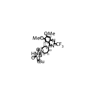 COc1cc2nc(C(F)(F)F)nc(N3CCCN(S(=O)(=O)NC(=O)OC(C)(C)C)CC3)c2cc1OC